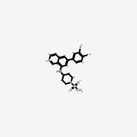 CS(=O)(=O)N1CCC(Nc2cc(-c3ccc(F)c(F)c3)cc3ccncc23)CC1